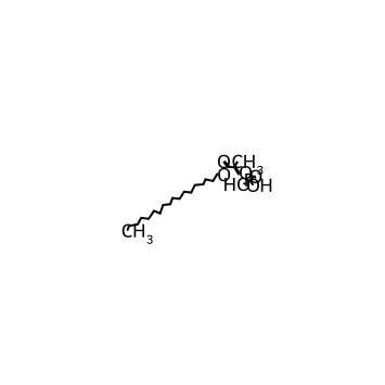 CCCCCCCCCCCCCCCCCCOC(=O)C(C)=COP(=O)(O)O